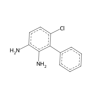 Nc1ccc(Cl)c(-c2ccccc2)c1N